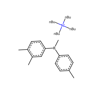 CB(c1ccc(C)cc1)c1ccc(C)c(C)c1.CCCC[N+](CCCC)(CCCC)CCCC